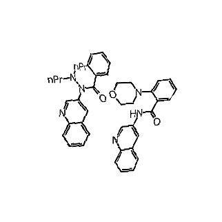 CCCN(CCC)N(C(=O)c1ccccc1)c1cnc2ccccc2c1.O=C(Nc1cnc2ccccc2c1)c1ccccc1N1CCOCC1